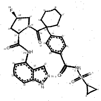 O=C(NS(=O)(=O)C1CC1)c1ccc(C2(C(=O)N3C[C@H](F)C[C@@H]3C(=O)Nc3cccc4[nH]ncc34)CCCCC2)cc1